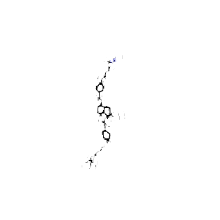 C=CC(=O)OCCCCOc1ccc(C(=O)Oc2c(C)ccc3c(OC(=O)c4ccc(OCCCCOC(=O)/C=C/C)cc4)cccc23)cc1